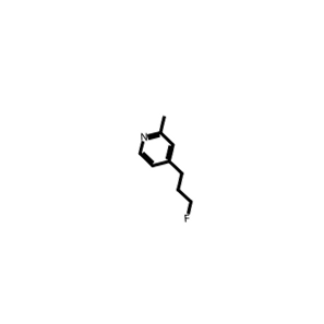 Cc1cc(CCCF)ccn1